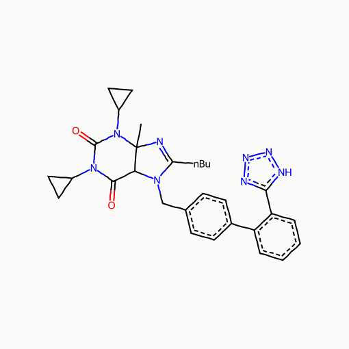 CCCCC1=NC2(C)C(C(=O)N(C3CC3)C(=O)N2C2CC2)N1Cc1ccc(-c2ccccc2-c2nnn[nH]2)cc1